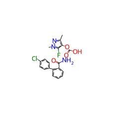 Cc1nn(C)c(F)c1OC(=O)O.NC(=O)c1ccccc1-c1ccc(Cl)cc1